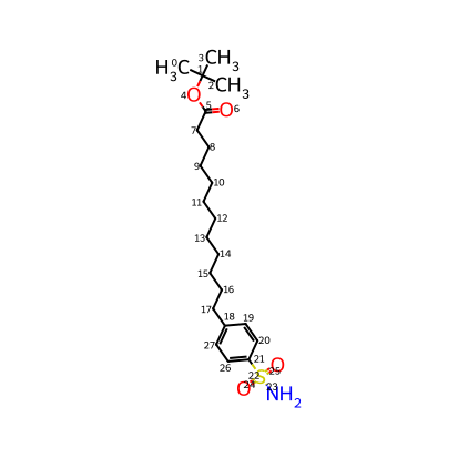 CC(C)(C)OC(=O)CCCCCCCCCCCc1ccc(S(N)(=O)=O)cc1